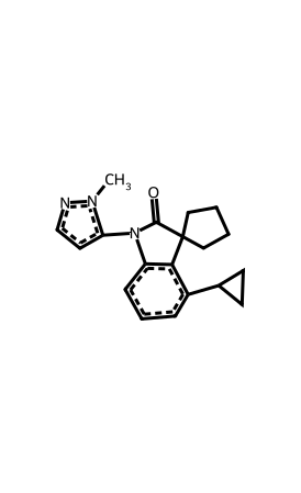 Cn1nccc1N1C(=O)C2(CCCC2)c2c(C3CC3)cccc21